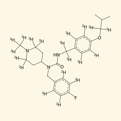 [2H]c1c([2H])c(CN(C(=O)NC([2H])([2H])c2c([2H])c([2H])c(OC([2H])([2H])C(C)C)c([2H])c2[2H])C2CC([2H])([2H])N(C([2H])([2H])[2H])C([2H])([2H])C2)c([2H])c([2H])c1F